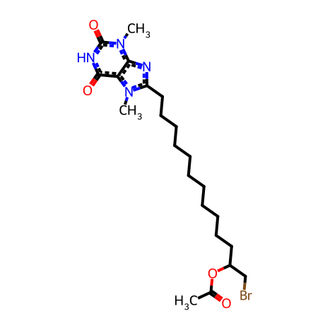 CC(=O)OC(CBr)CCCCCCCCCCCc1nc2c(c(=O)[nH]c(=O)n2C)n1C